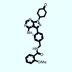 COc1ccccc1C(=O)NCc1ccc(-c2nn(C3CCC(=O)CC3)c3ncnc(N)c23)cc1